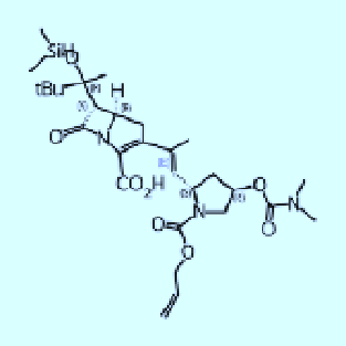 C=CCOC(=O)N1C[C@H](OC(=O)N(C)C)C[C@H]1/C=C(\C)C1=C(C(=O)O)N2C(=O)[C@H]([C@@](C)(O[SiH](C)C)C(C)(C)C)[C@H]2C1